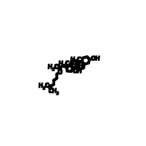 CN(C)CCCCON(C)CC1CC[C@@]2(O)[C@@H]3CCC4CC(O)CC[C@]4(C)[C@@H]3CC[C@]12C